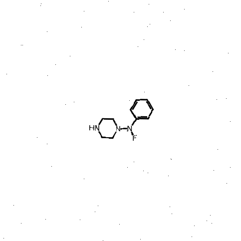 FN(c1ccccc1)N1CCNCC1